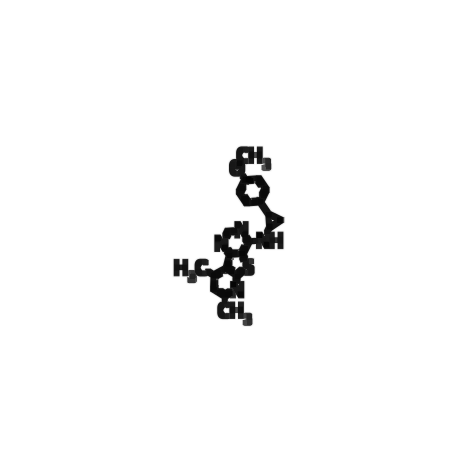 COc1ccc(C2CC2Nc2ncnc3c2sc2nc(C)cc(C)c23)cc1